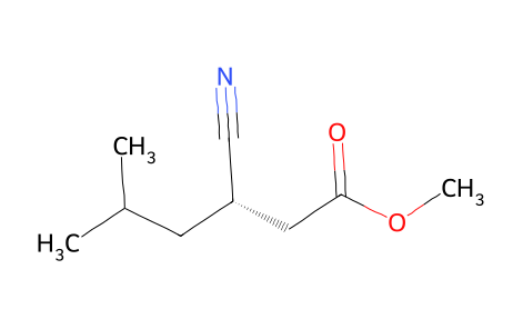 COC(=O)C[C@@H](C#N)CC(C)C